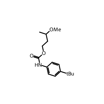 COC(C)CCOC(=O)Nc1ccc(C(C)(C)C)cc1